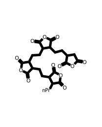 CCCC1C(=O)OC(=O)C1CCC1C(=O)OC(=O)C1CCC1C(=O)OC(=O)C1CCC1CC(=O)OC1=O